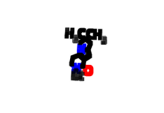 CCN1CCc2c(cc3n2CC(C)(C)C3)C1=O